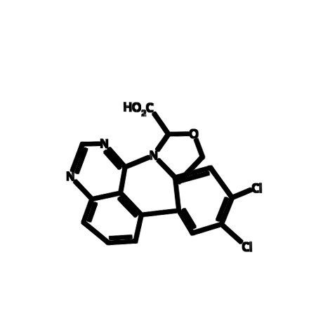 O=C(O)C1OCCN1c1ncnc2cccc(-c3ccc(Cl)c(Cl)c3)c12